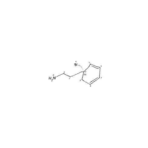 NCC[C@@]1(Br)C=CC=CC1